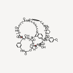 COc1ccc(C[C@@H]2NC(=O)[C@H]([C@@H](C)O)NC(=O)[C@@H]3[C@@H]4CCN3C(=O)[C@@H]3Cc5cn(c6ccc(F)cc56)CCCCCCN(Cc5ccc(cc5)CCNC(=O)[C@]5(C)CCCN5C2=O)C(=O)CCCC(=O)N[C@H](C)C(=O)N[C@@H](Cc2cccc(c2)CNC(=O)CO4)C(=O)N3)cc1